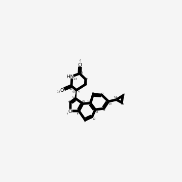 O=C1CC[C@@H](c2coc3ccc4cc(C5CC5)ccc4c23)C(=O)N1